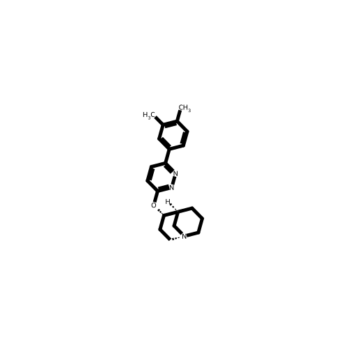 Cc1ccc(-c2ccc(O[C@H]3CC[N@@]4CCC[C@H]3C4)nn2)cc1C